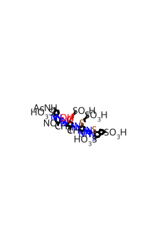 CC(=O)Nc1ccc2c(nc3c(C#N)c(C)c(N=Nc4cc(C)c(N=Nc5cc(N)c(N=Nc6nc7c(S(=O)(=O)O)cc8cc(S(=O)(=O)O)ccc8c7s6)cc5SCCCS(=O)(=O)O)cc4OCCCS(=O)(=O)O)c(O)n32)c1S(=O)(=O)O